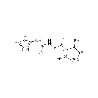 CC(CNC(=S)Nc1nccs1)c1c(F)cccc1F